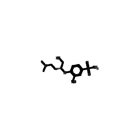 CN(C)CC[C@H](CS)Oc1ccc(S(N)(=O)=O)cc1N=O